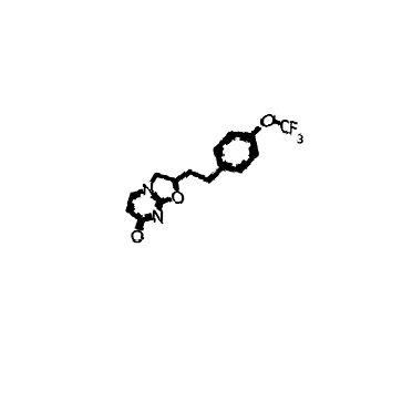 O=c1ccn2c(n1)OC(CCc1ccc(OC(F)(F)F)cc1)C2